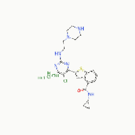 Cl.Cl.Cl.O=C(NC1CC1)c1cccc2sc(-c3nc(NCCN4CCNCC4)ncc3Cl)cc12